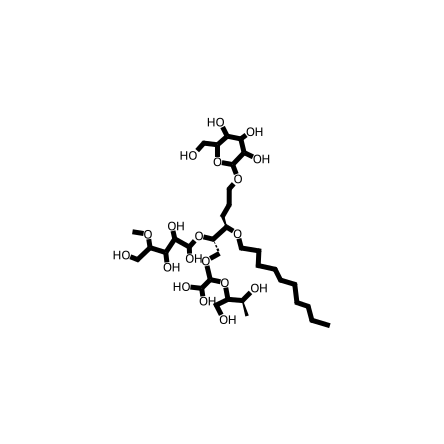 CCCCCCCCCCO[C@H](CCCOC1OC(CO)C(O)C(O)C1O)[C@H](COC(OC(CO)[C@H](C)O)C(O)O)OC(O)C(O)C(O)C(CO)OC